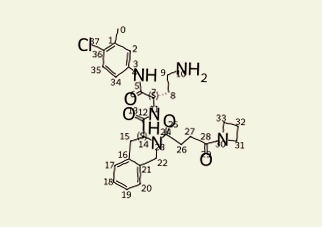 Cc1cc(NC(=O)[C@H](CCN)NC(=O)[C@@H]2Cc3ccccc3CN2C(=O)CCC(=O)N2CCC2)ccc1Cl